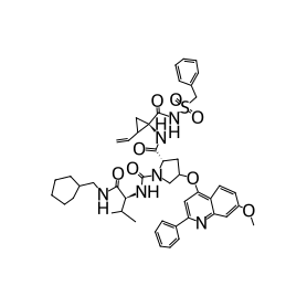 C=CC1C[C@]1(NC(=O)[C@@H]1CC(Oc2cc(-c3ccccc3)nc3cc(OC)ccc23)CN1C(=O)N[C@H](C(=O)NCC1CCCCC1)C(C)C)C(=O)NS(=O)(=O)Cc1ccccc1